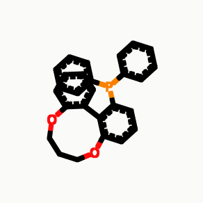 c1ccc(P(c2ccccc2)c2cccc3c2-c2ccccc2OCCCO3)cc1